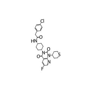 O=C(Cc1ccc(Cl)cc1)N[C@H]1CC[C@@H](n2c(=O)c3cc(F)cnc3n(C3CCSCC3)c2=O)CC1